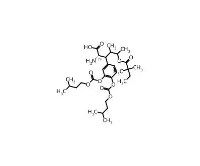 CCC(C)(C)C(=O)OC(C)C(C)C(c1ccc(OC(=O)OCCC(C)C)c(OC(=O)OCCC(C)C)c1)[C@H](N)C(=O)O